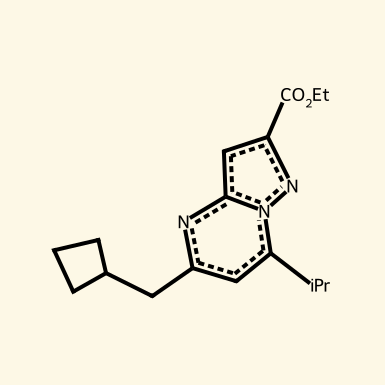 CCOC(=O)c1cc2nc(CC3CCC3)cc(C(C)C)n2n1